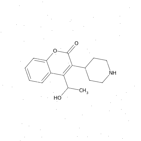 CC(O)c1c(C2CCNCC2)c(=O)oc2ccccc12